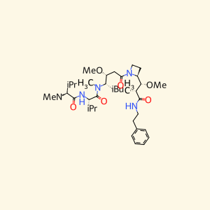 CCC(C)[C@@H]([C@@H](CC(=O)N1CC[C@H]1[C@H](OC)[C@@H](C)C(=O)NCCc1ccccc1)OC)N(C)C(=O)[C@@H](NC(=O)[C@@H](NC)C(C)C)C(C)C